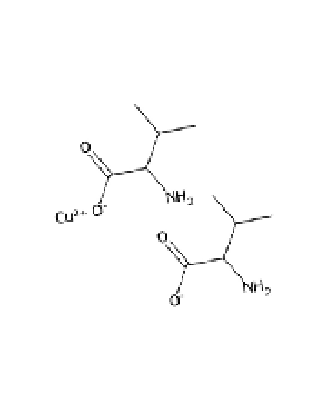 CC(C)C(N)C(=O)[O-].CC(C)C(N)C(=O)[O-].[Cu+2]